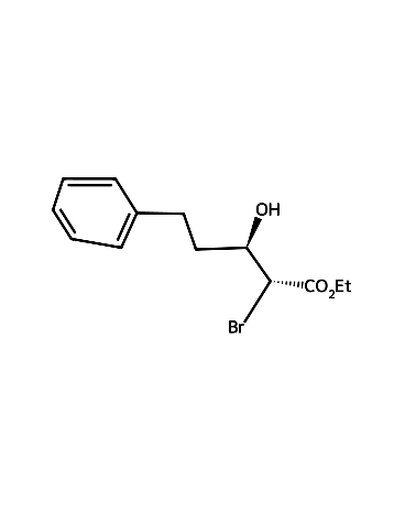 CCOC(=O)[C@H](Br)[C@H](O)CCc1ccccc1